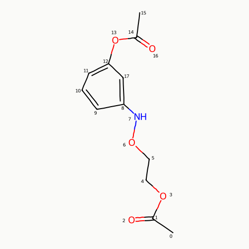 CC(=O)OCCONc1cccc(OC(C)=O)c1